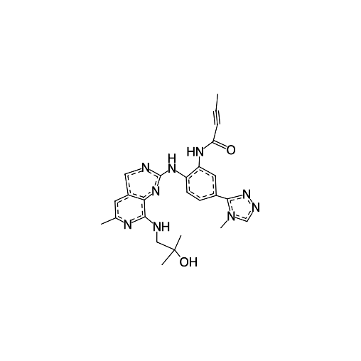 CC#CC(=O)Nc1cc(-c2nncn2C)ccc1Nc1ncc2cc(C)nc(NCC(C)(C)O)c2n1